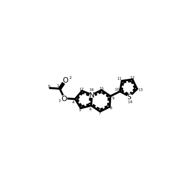 CC(=O)Oc1cc2ccc(-c3cccs3)cn2c1